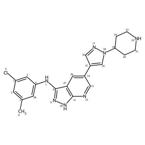 Cc1cc(Cl)cc(Nc2n[nH]c3ncc(-c4cnn(C5CCNCC5)c4)cc23)c1